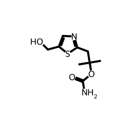 CC(C)(Cc1ncc(CO)s1)OC(N)=O